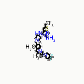 Cc1c(CN2CCC(Nc3nc(N)nc4sc(CC(F)(F)F)cc34)CC2)ccc2c1cc(C#N)n2C[C@H](C)N1CCC(F)(F)CC1